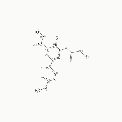 CNC(=O)Cn1nc(-c2ccc(OC)cc2)cc(C(=O)NC)c1=O